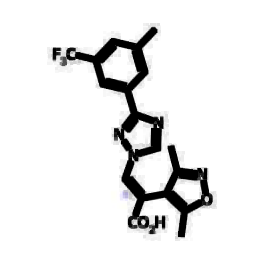 Cc1cc(-c2ncn(/C=C(/C(=O)O)c3c(C)noc3C)n2)cc(C(F)(F)F)c1